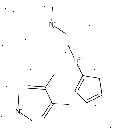 C=C(C)C(=C)C.C[N-]C.C[N-]C.[CH3][Ti+2][C]1=CC=CC1